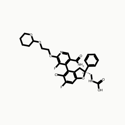 NC(=O)c1cnc(OCCOC2CCCCO2)c(F)c1-c1c(Cl)c(F)cc2c1C[C@@](CNC(=O)O)(c1ccccc1)O2